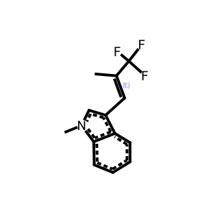 C/C(=C\c1cn(C)c2ccccc12)C(F)(F)F